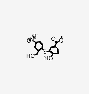 COC(=O)c1ccc(O)c(Sc2ccc([N+](=O)[O-])cc2CO)c1